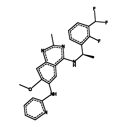 COc1cc2nc(C)nc(N[C@H](C)c3cccc(C(F)F)c3F)c2cc1Nc1ccccn1